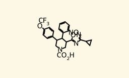 O=C(O)N1CC(c2ccc(OC(F)(F)F)cc2)C(c2ccccc2[N+](=O)[O-])C(c2nc(C3CC3)no2)C1